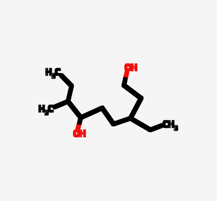 CCC(CCO)CCC(O)C(C)CC